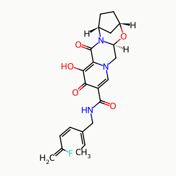 C=C(F)/C=C\C(=C/C)CNC(=O)c1cn2c(c(O)c1=O)C(=O)N1[C@@H]3CC[C@@H](C3)O[C@H]1C2